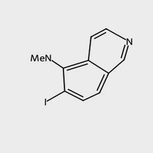 CNc1c(I)ccc2cnccc12